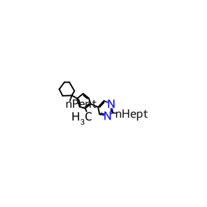 CCCCCCCc1ncc(-c2ccc(C3(CCCCC)CCCCC3)cc2C)cn1